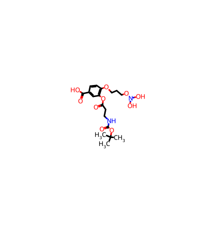 CC(C)(C)OC(=O)NCCC(=O)Oc1cc(C(=O)O)ccc1OCCCON(O)O